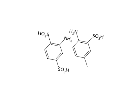 Cc1ccc(N)c(S(=O)(=O)O)c1.Nc1cc(S(=O)(=O)O)ccc1S(=O)(=O)O